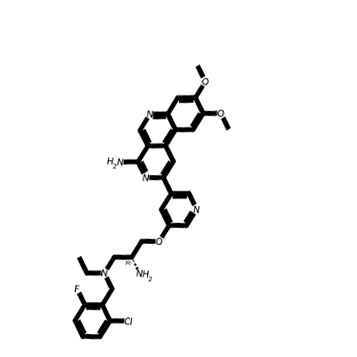 CCN(Cc1c(F)cccc1Cl)C[C@@H](N)COc1cncc(-c2cc3c(cnc4cc(OC)c(OC)cc43)c(N)n2)c1